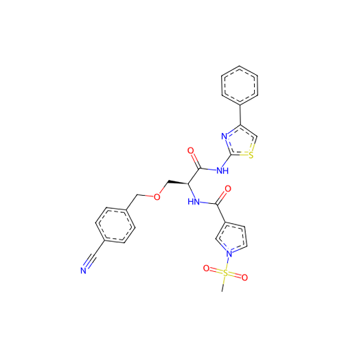 CS(=O)(=O)n1ccc(C(=O)N[C@@H](COCc2ccc(C#N)cc2)C(=O)Nc2nc(-c3ccccc3)cs2)c1